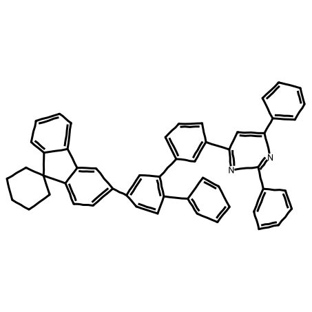 c1ccc(-c2cc(-c3cccc(-c4cc(-c5ccc6c(c5)-c5ccccc5C65CCCCC5)ccc4-c4ccccc4)c3)nc(-c3ccccc3)n2)cc1